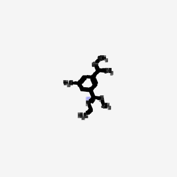 C=C/N=C(\SC)c1cc(C)cc(C(=C)OC)c1